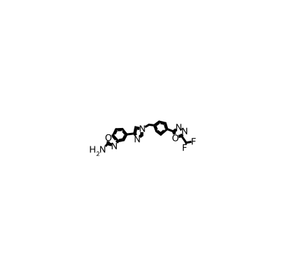 Nc1nc2cc(-c3cn(Cc4ccc(-c5nnc(C(F)F)o5)cc4)cn3)ccc2o1